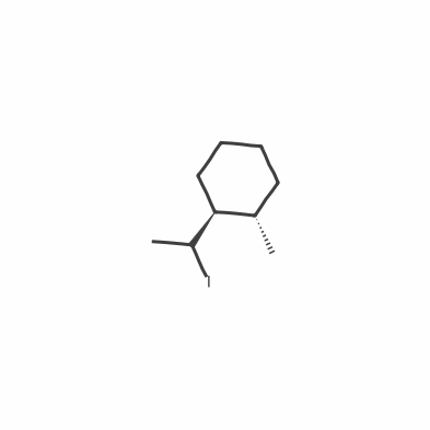 CC(I)[C@H]1CCCC[C@@H]1C